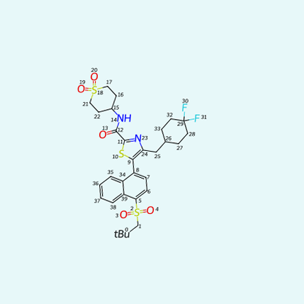 CC(C)(C)CS(=O)(=O)c1ccc(-c2sc(C(=O)NC3CCS(=O)(=O)CC3)nc2CC2CCC(F)(F)CC2)c2ccccc12